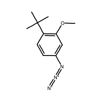 COc1cc(N=[N+]=[N-])ccc1C(C)(C)C